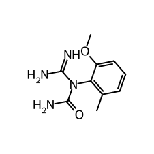 COc1cccc(C)c1N(C(=N)N)C(N)=O